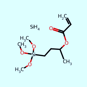 C=CC(=O)OC(C)CC[Si](OC)(OC)OC.[SiH4]